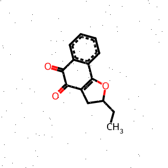 CCC1CC2=C(O1)c1ccccc1C(=O)C2=O